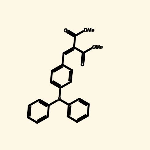 COC(=O)C(=Cc1ccc(N(c2ccccc2)c2ccccc2)cc1)C(=O)OC